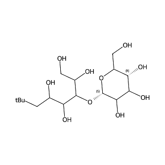 CC(C)(C)CC(O)C(O)C(O[C@@H]1OC(CO)[C@H](O)C(O)C1O)C(O)CO